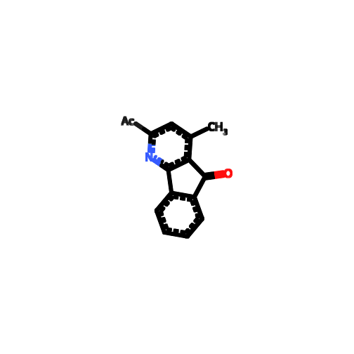 CC(=O)c1cc(C)c2c(n1)-c1ccccc1C2=O